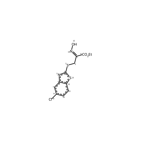 CCOC(=O)C(CSc1nc2cc(Cl)ccc2s1)=NO